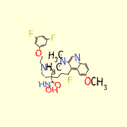 COc1ccc2ncc(N(C)C)c([C@H](F)CCC3(C(=O)NO)CCN(CCOc4cc(F)cc(F)c4)CC3)c2c1